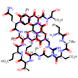 CC[C@H](C)[C@H](NC(=O)[C@H](CO)NC(=O)[C@H](CCC(=O)O)NC(=O)[C@@H](NC(=O)[C@@H](NC(=O)CNC(=O)[C@H](CC(=O)O)NC(=O)[C@@H](NC(=O)[C@@H](N)CC(C)C)[C@@H](C)CC)C(C)C)[C@@H](C)O)C(=O)NCC(=O)N(C)[C@H](C(=O)N[C@H](C(=O)N[C@H](C(=O)N[C@@H](CCC(N)=O)C(=O)N[C@H](C(=O)N[C@@H](CCC(=O)O)C(=O)N[C@@H](CCCNC(=N)N)C(=O)N[C@@H](Cc1ccccc1)C(=O)N[C@@H](CO)C(=O)O)C(C)C)C(C)C)C(C)C)C(C)(C)C